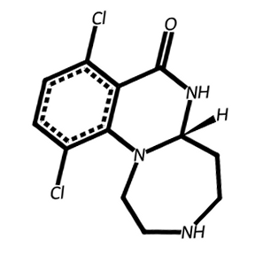 O=C1N[C@@H]2CCNCCN2c2c(Cl)ccc(Cl)c21